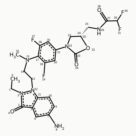 CCn1c(=O)c2cc(N)ccc2n1CCN(C)c1c(F)cc(N2C[C@H](CNC(=O)C(F)F)OC2=O)cc1F